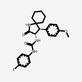 COc1ccc([C@H]2[C@H](NC(=O)Nc3ccc(F)cc3)C(=O)NC23CCCCC3)cc1